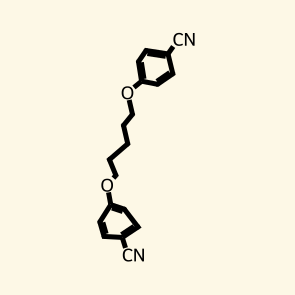 N#Cc1ccc(OCCCCCOc2ccc(C#N)cc2)cc1